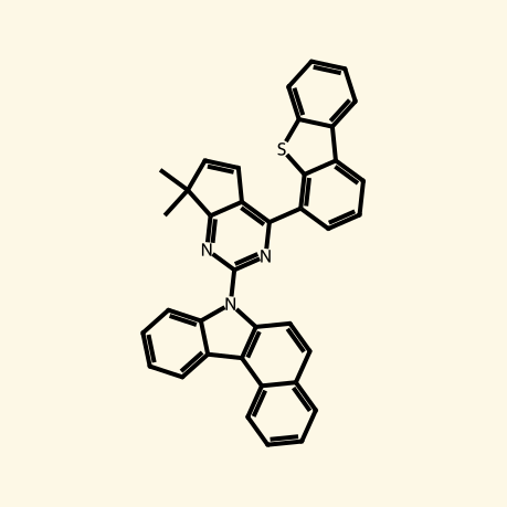 CC1(C)C=Cc2c(-c3cccc4c3sc3ccccc34)nc(-n3c4ccccc4c4c5ccccc5ccc43)nc21